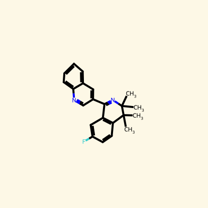 CC1(C)N=C(c2cnc3ccccc3c2)c2cc(F)ccc2C1(C)C